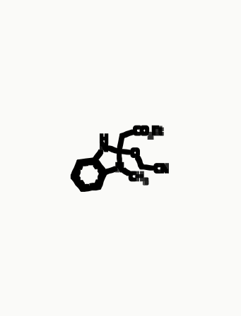 CCOC(=O)CC1(OCC#N)Nc2ccccc2N1C